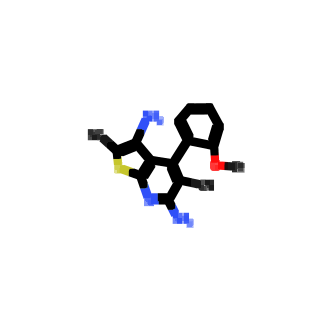 CCOc1ccccc1-c1c(C#N)c(N)nc2sc(C#N)c(N)c12